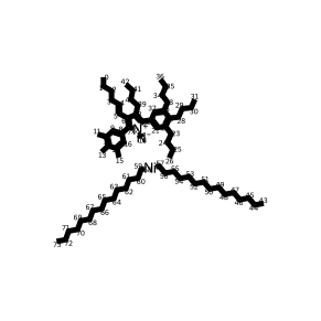 CCCCC=CC1=C(c2cc(C)c(C)c(C)c2)[N+](=[N-])C(c2cc(CCCC)c(CCCC)c(CCCC)c2)=C1CCCC.CCCCCCCCCCCCCC[CH2][Ni][CH2]CCCCCCCCCCCCCC